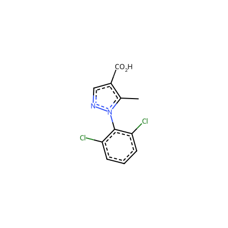 Cc1c(C(=O)O)cnn1-c1c(Cl)cccc1Cl